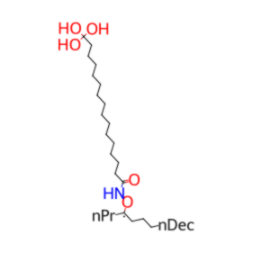 CCCCCCCCCCCCC[C](CCC)ONC(=O)CCCCCCCCCCCCCCC(O)(O)O